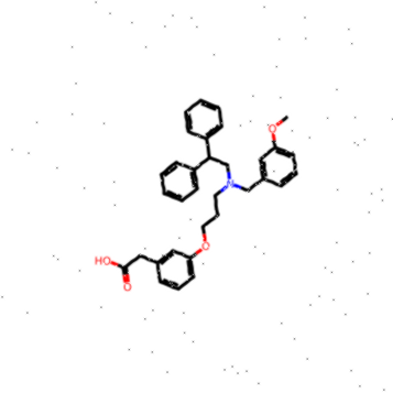 COc1cccc(CN(CCCOc2cccc(CC(=O)O)c2)CC(c2ccccc2)c2ccccc2)c1